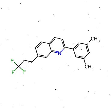 Cc1cc(C)cc(-c2ccc3ccc(CCC(F)(F)F)cc3n2)c1